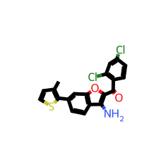 Cc1ccsc1-c1ccc2c(N)c(C(=O)c3ccc(Cl)cc3Cl)oc2c1